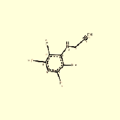 C#CCNc1c(F)c(F)[c]c(F)c1F